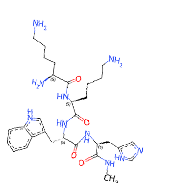 CNC(=O)[C@H](Cc1cnc[nH]1)NC(=O)[C@H](Cc1c[nH]c2ccccc12)NC(=O)[C@H](CCCCN)NC(=O)[C@@H](N)CCCCN